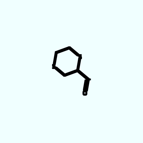 O=[C]C1CSCCS1